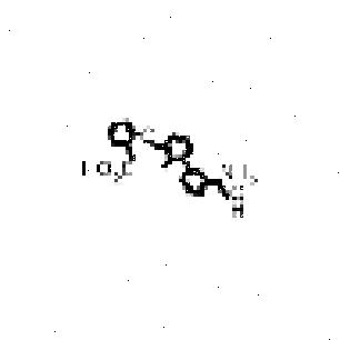 Cc1c(COc2ccccc2CC(=O)O)cccc1-c1cccc(C(N)CO)c1